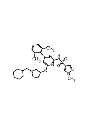 Cc1cccc(C)c1-c1cc(OC2CCN(CC3CCCCC3)C2)nc(NS(=O)(=O)c2cnn(C)c2)n1